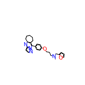 CN(CCCOc1ccc(-c2c3c(nc4ccnn24)CCCCC3)cc1)Cc1ccco1